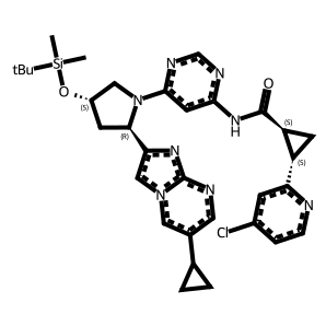 CC(C)(C)[Si](C)(C)O[C@H]1C[C@H](c2cn3cc(C4CC4)cnc3n2)N(c2cc(NC(=O)[C@H]3C[C@@H]3c3cc(Cl)ccn3)ncn2)C1